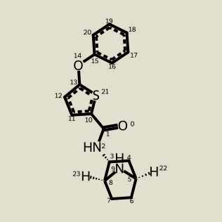 O=C(N[C@@H]1C[C@H]2CC[C@@H]1N2)c1ccc(Oc2ccccc2)s1